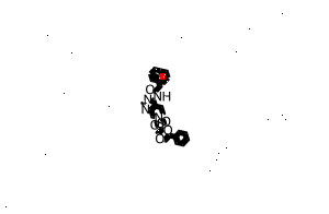 O=C(CC12CC3CC(CC(C3)C1)C2)Nc1ncnc2c1CCN(S(=O)(=O)C1=COC=C(C3=CC=CCC3)O1)C2